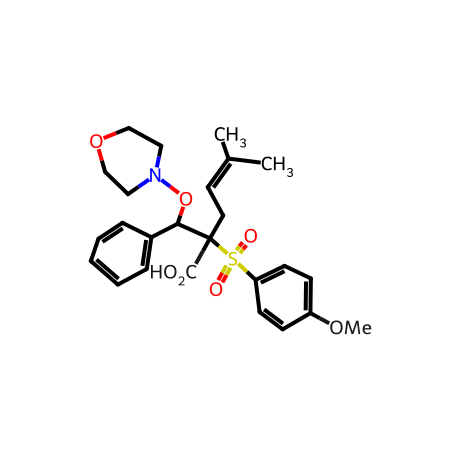 COc1ccc(S(=O)(=O)C(CC=C(C)C)(C(=O)O)C(ON2CCOCC2)c2ccccc2)cc1